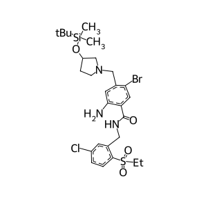 CCS(=O)(=O)c1ccc(Cl)cc1CNC(=O)c1cc(Br)c(CN2CCC(O[Si](C)(C)C(C)(C)C)C2)cc1N